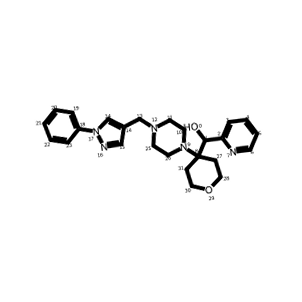 OC(c1ccccn1)C1(N2CCN(Cc3cnn(-c4ccccc4)c3)CC2)CCOCC1